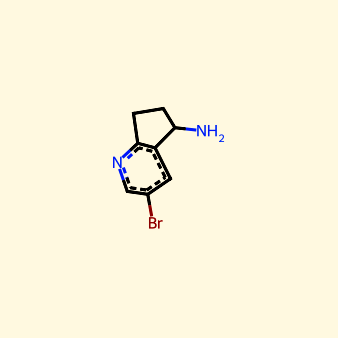 NC1CCc2ncc(Br)cc21